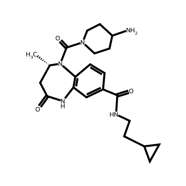 C[C@H]1CC(=O)Nc2cc(C(=O)NCCC3CC3)ccc2N1C(=O)N1CCC(N)CC1